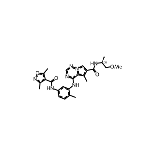 COC[C@H](C)NC(=O)c1cn2ncnc(Nc3cc(NC(=O)c4c(C)noc4C)ccc3C)c2c1C